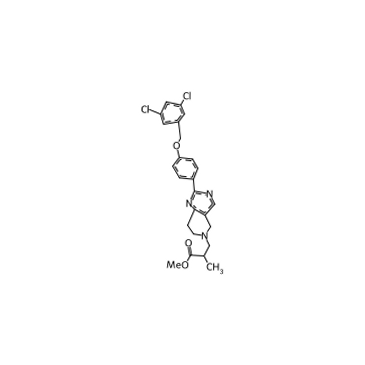 COC(=O)C(C)CN1CCc2nc(-c3ccc(OCc4cc(Cl)cc(Cl)c4)cc3)ncc2C1